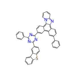 c1ccc(-c2ccc3c(c2)c2cc(-c4nc(-c5ccccc5)nc(-c5ccc6sc7ccccc7c6c5)n4)ccc2c2c3nc3ccccn32)cc1